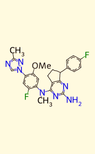 COc1cc(N(C)c2nc(N)nc3c2CCC3c2ccc(F)cc2)c(F)cc1-n1cnc(C)n1